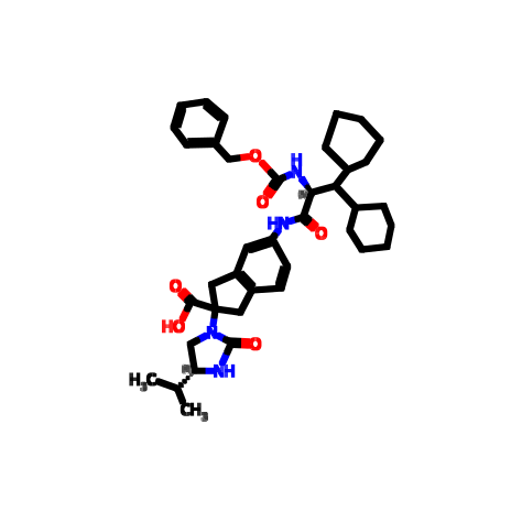 CC(C)[C@@H]1CN(C2(C(=O)O)Cc3ccc(NC(=O)[C@@H](NC(=O)OCc4ccccc4)C(C4CCCCC4)C4CCCCC4)cc3C2)C(=O)N1